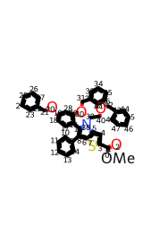 COC(=O)c1cc2c(s1)c(-c1ccccc1)c(-c1ccc(OCc3ccccc3)cc1OCc1ccccc1)n2CCOCc1ccccc1